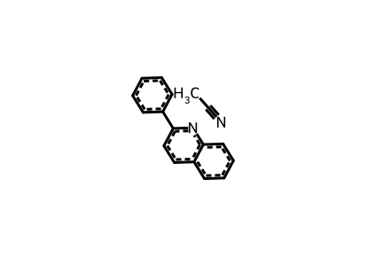 CC#N.c1ccc(-c2ccc3ccccc3n2)cc1